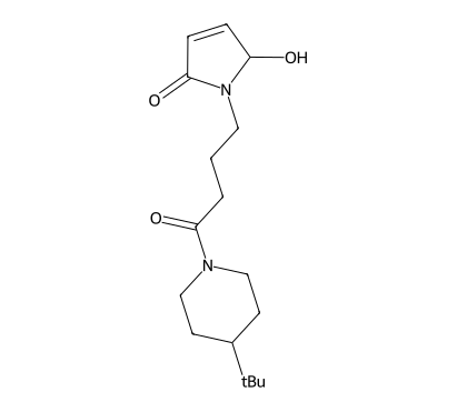 CC(C)(C)C1CCN(C(=O)CCCN2C(=O)C=CC2O)CC1